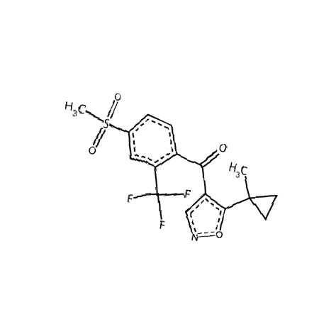 CC1(c2oncc2C(=O)c2ccc(S(C)(=O)=O)cc2C(F)(F)F)CC1